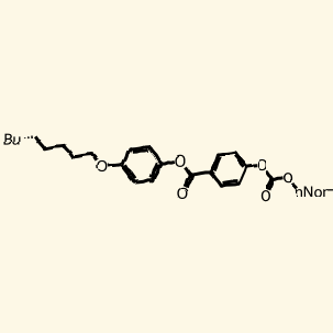 CCCCCCCCCOC(=O)Oc1ccc(C(=O)Oc2ccc(OCCCCC[C@@H](C)CC)cc2)cc1